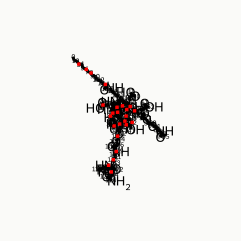 CCCCCCCCCCCCCCCC(=O)NCCCC[C@H](NC(=O)[C@H](CCC(=O)O)NC(=O)[C@H](Cc1ccc(O)cc1)NC(=O)[C@@H](CCC(=O)O)NC(=O)COCCOCCNC(C)=O)C(=O)N[C@@H](CCC(=O)O)C(=O)N[C@@H](Cc1ccc(O)cc1)C(=O)N[C@@H](CCC(=O)O)C(=O)NCCOCCOCC(=O)NCCCC[C@H](NC(=O)CNC)C(=O)NCC(N)=O